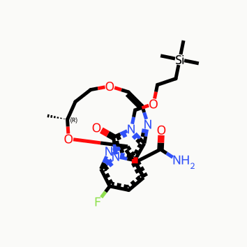 C[C@@H]1CCOC=CN=c2c3c4cc(F)c(nc(c4C(N)=O)O1)n3c(=O)n2COCC[Si](C)(C)C